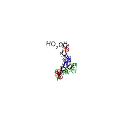 O=C(O)c1cccc(Oc2cccc(-c3nnc(N(Cc4ccc(CP(=O)(OF)OF)c(Br)c4)c4ccc(Cl)c(Cl)c4)s3)c2)c1